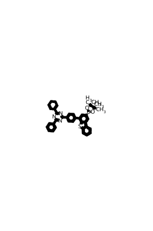 CC1(C)OB(c2cc(-c3ccc(-c4nc(C5=CCCC=C5)nc(-c5ccccc5)n4)cc3)c3sc4ccccc4c3c2)OC1(C)C